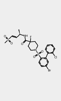 C[C@H](/C=C/S(C)(=O)=O)NC(=O)C1(F)CCN(S(=O)(=O)c2ccc(Br)cc2-c2ccccc2Cl)CC1